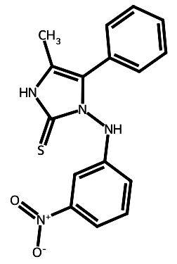 Cc1[nH]c(=S)n(Nc2cccc([N+](=O)[O-])c2)c1-c1ccccc1